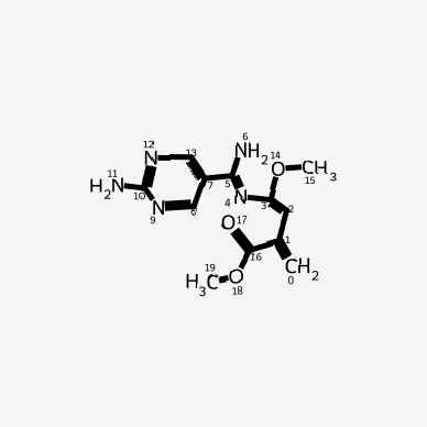 C=C(/C=C(\N=C(/N)c1cnc(N)nc1)OC)C(=O)OC